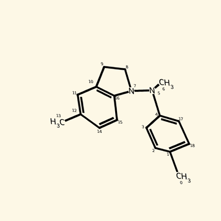 Cc1ccc(N(C)N2CCc3cc(C)ccc32)cc1